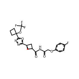 O=C(COc1ccc(F)cc1)NC(=O)C12CC(c3nnc(C4(OC(F)(F)F)CCC4)o3)(C1)C2